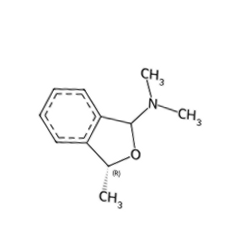 C[C@H]1OC(N(C)C)c2ccccc21